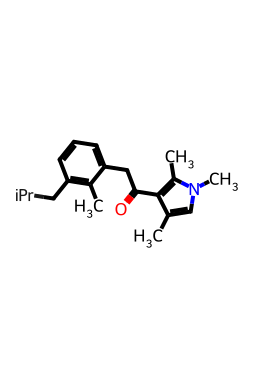 Cc1cn(C)c(C)c1C(=O)Cc1cccc(CC(C)C)c1C